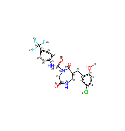 COc1ccc(Cl)cc1CC1CNC(=O)CN(C(=O)Nc2ccc(C(F)(F)F)cc2)C1=O